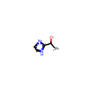 CC(C)C([O])c1ncc[nH]1